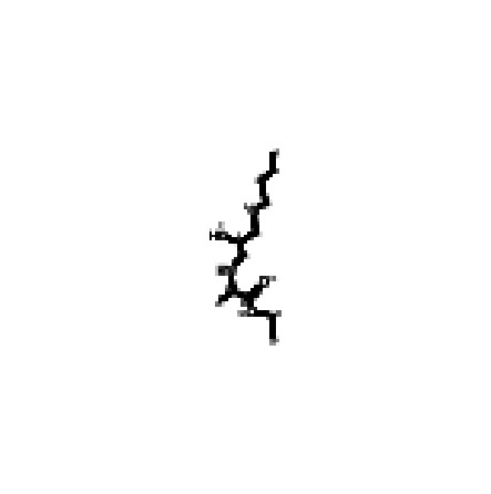 CCCCOCC(O)CNC(C)C(=O)OCC